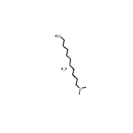 CN(C)CCCCCCCCCCC(=O)O.O